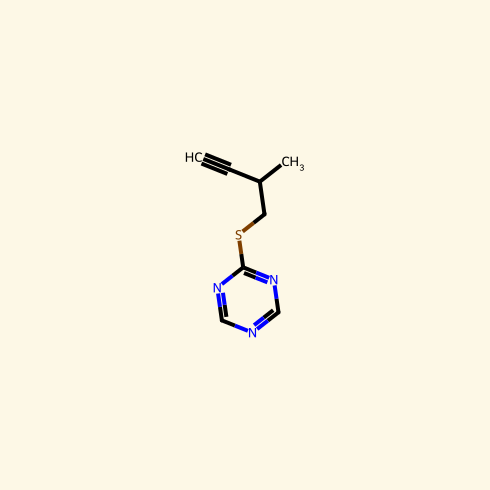 C#CC(C)CSc1ncncn1